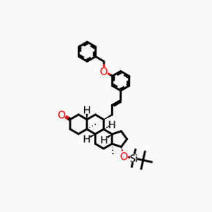 CC(C)(C)[Si](C)(C)O[C@H]1CC[C@H]2[C@@H]3[C@H](CC=Cc4cccc(OCc5ccccc5)c4)C[C@H]4CC(=O)CC[C@]4(C)[C@H]3CC[C@]12C